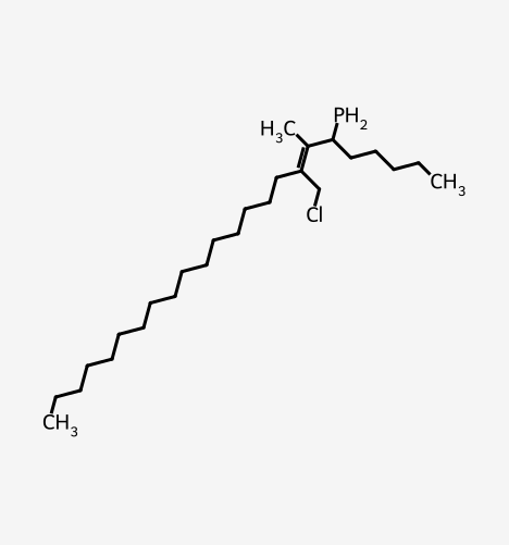 CCCCCCCCCCCCCCCC/C(CCl)=C(\C)C(P)CCCCC